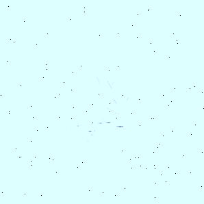 C=C/C(O)=C\C=C(/C=C)S(=O)(=O)/C(C=C)=C/C=C(\C=C)OSF